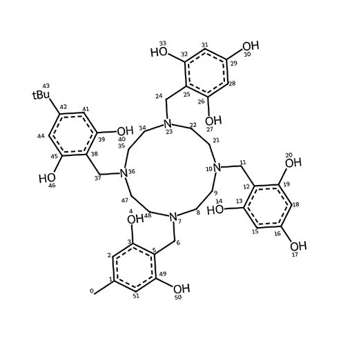 Cc1cc(O)c(CN2CCN(Cc3c(O)cc(O)cc3O)CCN(Cc3c(O)cc(O)cc3O)CCN(Cc3c(O)cc(C(C)(C)C)cc3O)CC2)c(O)c1